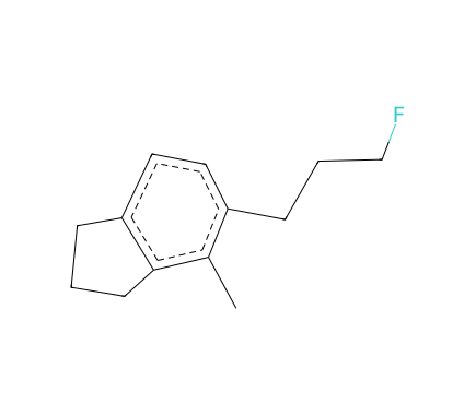 Cc1c(CCCF)ccc2c1CCC2